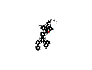 C=C/C=C\C1=C(C)C2(c3ccccc3O1)c1ccccc1-c1c(-c3cccc(-c4nc(-c5cccc(-c6ccccc6)c5)nc(-c5cccc6ccccc56)n4)c3)cccc12